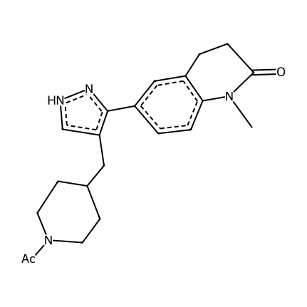 CC(=O)N1CCC(Cc2c[nH]nc2-c2ccc3c(c2)CCC(=O)N3C)CC1